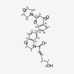 O=C(C#CCCO)N1CCOc2ccc(-c3csc4c(=O)cc(N5CCOCC5)oc34)cc21